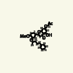 COc1ccc(-c2cc(=O)c3c(O)cc(OCC(C)=O)cc3o2)cc1OC(C)CCCc1ccccc1